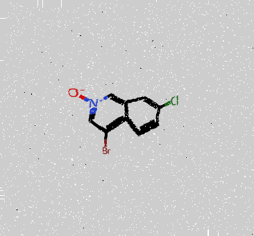 [O-][n+]1cc(Br)c2ccc(Cl)cc2c1